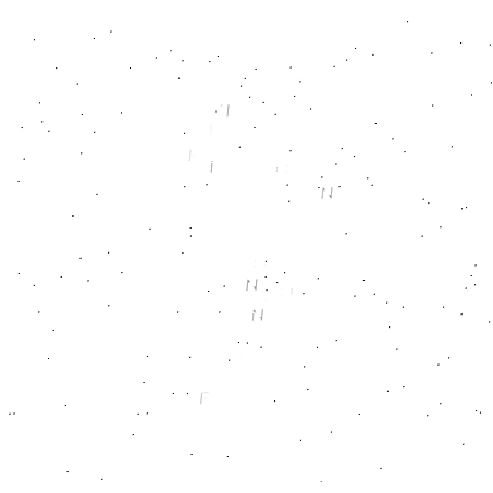 N#Cc1cc(CON2CC=C3c4ccc(F)cc4CCN3C2=O)ccc1Oc1ccc(Cl)c(C(F)(F)F)c1